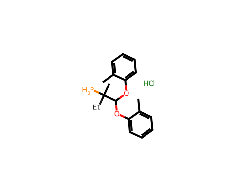 CCC(C)(P)C(Oc1ccccc1C)Oc1ccccc1C.Cl